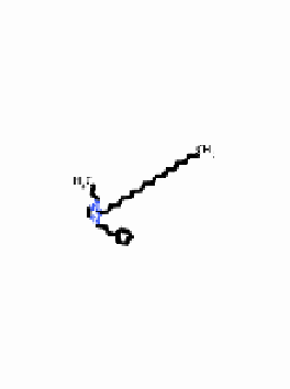 CCCCCCCCCCCCCCCCCCc1n(CCCC)cc[n+]1CCCc1ccccc1